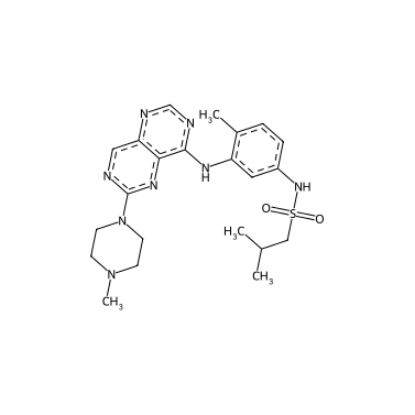 Cc1ccc(NS(=O)(=O)CC(C)C)cc1Nc1ncnc2cnc(N3CCN(C)CC3)nc12